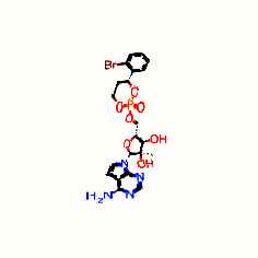 C[C@@]1(O)[C@H](O)[C@@H](CO[P@@]2(=O)OCC[C@@H](c3ccccc3Br)O2)O[C@H]1n1ccc2c(N)ncnc21